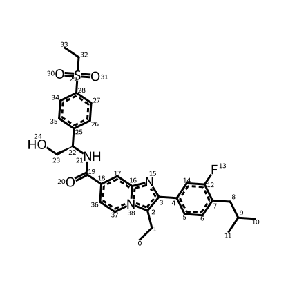 CCc1c(-c2ccc(CC(C)C)c(F)c2)nc2cc(C(=O)N[C@@H](CO)c3ccc(S(=O)(=O)CC)cc3)ccn12